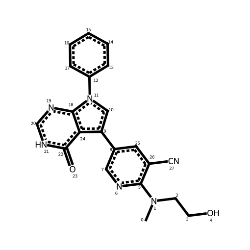 CN(CCO)c1ncc(-c2cn(-c3ccccc3)c3nc[nH]c(=O)c23)cc1C#N